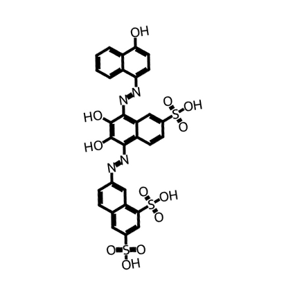 O=S(=O)(O)c1cc(S(=O)(=O)O)c2cc(N=Nc3c(O)c(O)c(N=Nc4ccc(O)c5ccccc45)c4cc(S(=O)(=O)O)ccc34)ccc2c1